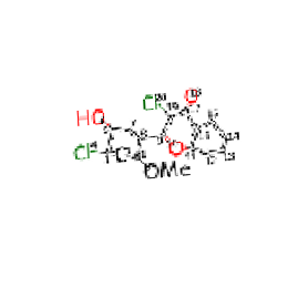 COc1cc(Cl)c(O)cc1-c1oc2ccccc2c(=O)c1Cl